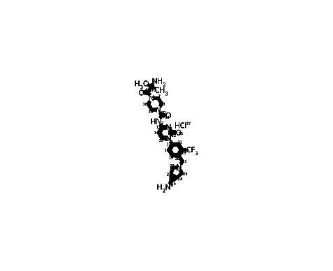 CC(C)(N)C(=O)N1CCN(C(=O)Nc2ccn(-c3ccc(CN4CC5C(N)C5C4)c(C(F)(F)F)c3)c(=O)n2)CC1.Cl